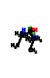 CCCCCCCCCC(C)(C)NCCCc1cc(Cl)c(O)c(Cl)c1CCCNC(C)(C)CCCCCCCCC